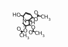 CC(=O)O[C@H]1[C@H]2[C@H](OC(C)=O)C=CC(O)N2C[C@@H]1OC(C)=O